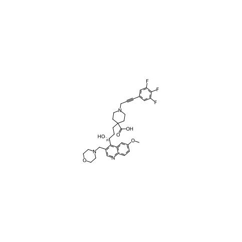 COc1ccc2ncc(CN3CCOCC3)c([C@H](O)CCC3(C(=O)O)CCN(CC#Cc4cc(F)c(F)c(F)c4)CC3)c2c1